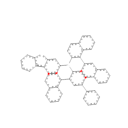 c1ccc(-c2ccc(N(c3ccc4c(c3)oc3ccccc34)c3ccc4ccccc4c3-c3ccc4ccccc4c3)c(-c3cccc4ccccc34)c2)cc1